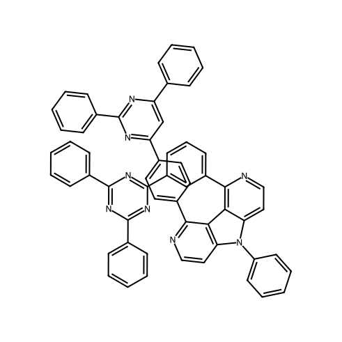 c1ccc(-c2cc(-c3ccc(-c4nccc5c4c4c(-c6cccc(-c7nc(-c8ccccc8)nc(-c8ccccc8)n7)c6)nccc4n5-c4ccccc4)cc3)nc(-c3ccccc3)n2)cc1